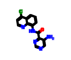 Nc1cncnc1C(=O)Nc1cccc2c(Cl)ccnc12